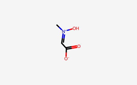 C[N+](O)=CC(=O)[O-]